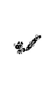 CC(C)N(C(=O)c1cc(F)ccc1Oc1cncnc1N1CC[C@@H](CN2CC3(CCN(S(=O)(=O)N4CCC5(CC4)CN(C(=O)OC(C)(C)C)C5)CC3)C2)C1)C(C)C